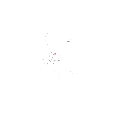 CCCCCCCCC=CCCCCCCCC(=O)C(CCCCC)(C(=O)CCCCCCCC=CCCCCCCCC)C(C(=O)CCCCCCCC=CCCCCCCCC)(C(=O)CCCCCCCC=CCCCCCCCC)C(=O)OCC(C(=O)O)C(C(=O)O)C(CC(=O)O)C(=O)O